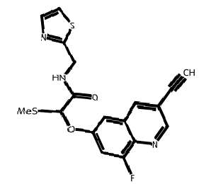 C#Cc1cnc2c(F)cc(OC(SC)C(=O)NCc3nccs3)cc2c1